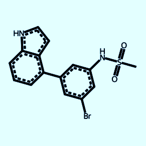 CS(=O)(=O)Nc1cc(Br)cc(-c2cccc3[nH]ccc23)c1